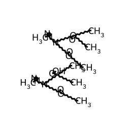 CCCCCCCCCOC(=O)CCCCCCCN(CCCCCCC(C(=O)O)C(CCCCCCCC)CCCCCCCC)CCCn1ccnc1C.CCCCCCCCCOC(=O)CCCCCCCN(CCCCCCCC(=O)OC(CCCCCCCC)CCCCCCCC)CCCn1ccnc1C